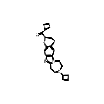 O=C(C1CCC1)C1CCc2cc3c(cc2C1)nc1n3CCN(C2CCC2)CC1